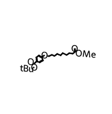 COC(=O)CCCCCCCCCOc1ccc(C(=O)OC(C)(C)C)cc1